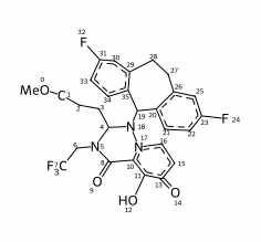 COCCCC1N(CC(F)(F)F)C(=O)c2c(O)c(=O)ccn2N1C1c2ccc(F)cc2CCc2cc(F)ccc21